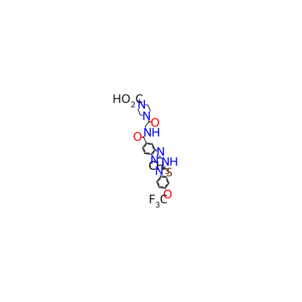 Cn1c(Nc2nc3ccc(OC(F)(F)F)cc3s2)nc2cc(C(=O)NCC(=O)N3CCN(C(=O)O)CC3)ccc21